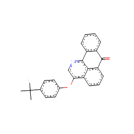 CCC(C)(C)c1ccc(Oc2cnc3c4c(cccc24)C(=O)c2ccccc2-3)cc1